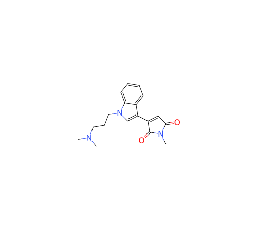 CN(C)CCCn1cc(C2=CC(=O)N(C)C2=O)c2ccccc21